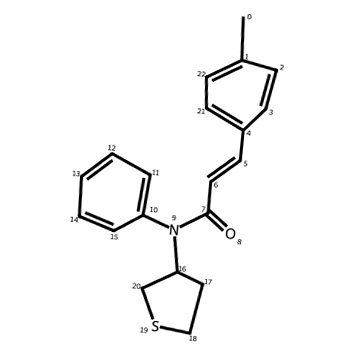 Cc1ccc(/C=C/C(=O)N(c2ccccc2)C2CCSC2)cc1